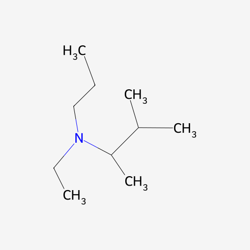 CCCN(CC)C(C)C(C)C